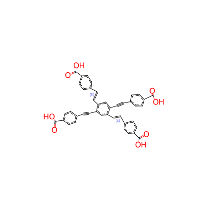 O=C(O)c1ccc(C#Cc2cc(/C=C/c3ccc(C(=O)O)cc3)c(C#Cc3ccc(C(=O)O)cc3)cc2/C=C/c2ccc(C(=O)O)cc2)cc1